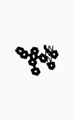 CCc1nc2cccc3c2n1-c1cc(-c2c4ccccc4c(-c4ccc5ccccc5c4)c4ccc(-c5ccccc5)cc24)ccc1N3c1ccccc1